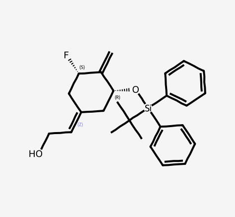 C=C1[C@@H](F)C/C(=C\CO)C[C@H]1O[Si](c1ccccc1)(c1ccccc1)C(C)(C)C